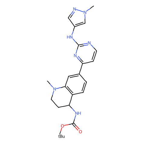 CN1CCC(NC(=O)OC(C)(C)C)c2ccc(-c3ccnc(Nc4cnn(C)c4)n3)cc21